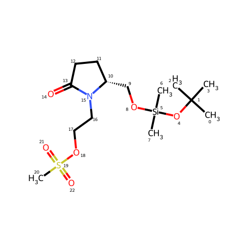 CC(C)(C)O[Si](C)(C)OC[C@H]1CCC(=O)N1CCOS(C)(=O)=O